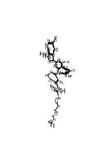 CCOCCOCCOCC(=O)N[C@@H]1CCC[C@H](n2ccc3cnc(-c4c[nH]c5ncc(F)cc45)nc32)C1